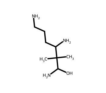 CC(C)(C(N)O)C(N)CCCN